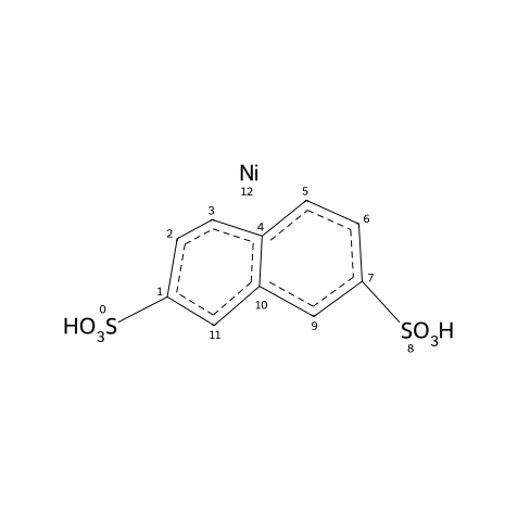 O=S(=O)(O)c1ccc2ccc(S(=O)(=O)O)cc2c1.[Ni]